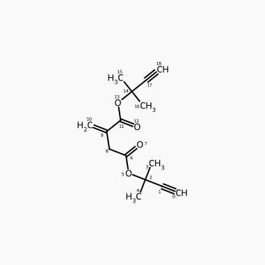 C#CC(C)(C)OC(=O)CC(=C)C(=O)OC(C)(C)C#C